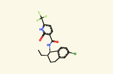 CCC1CCc2cc(Cl)ccc2C1NC(=O)c1ccc(C(F)(F)F)[nH]c1=O